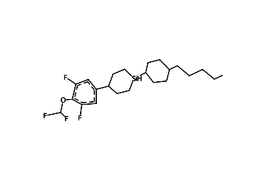 CCCCCC1CCC([SiH]2CCC(c3cc(F)c(OC(F)F)c(F)c3)CC2)CC1